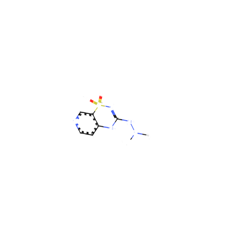 CC(C)N(C)NC1=NS(=O)(=O)c2cnccc2N1